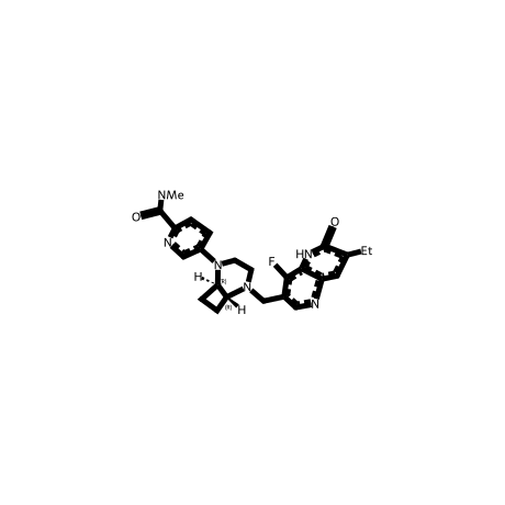 CCc1cc2ncc(CN3CCN(c4ccc(C(=O)NC)nc4)[C@@H]4CC[C@H]43)c(F)c2[nH]c1=O